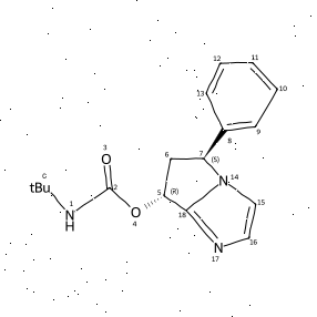 CC(C)(C)NC(=O)O[C@@H]1C[C@@H](c2ccccc2)n2ccnc21